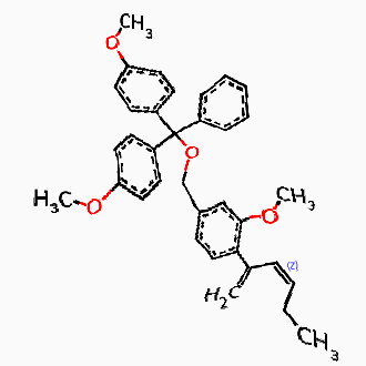 C=C(/C=C\CC)c1ccc(COC(c2ccccc2)(c2ccc(OC)cc2)c2ccc(OC)cc2)cc1OC